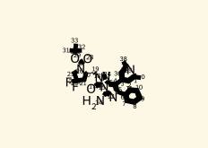 Cc1cc(-c2c(-c3ccccc3)nc(N)n3c(=O)n(C[C@@H]4CC(F)(F)CN4C(=O)OC(C)(C)C)nc23)cc(C)n1